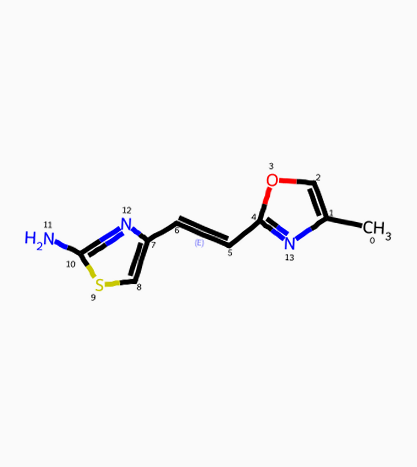 Cc1coc(/C=C/c2csc(N)n2)n1